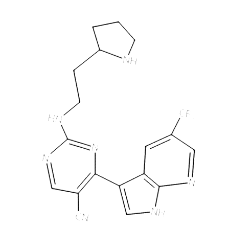 N#Cc1cnc(NCCC2CCCN2)nc1-c1c[nH]c2ncc(C(F)(F)F)cc12